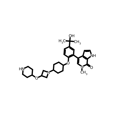 Cn1cc(-c2cc(C(C)(C)O)ccc2OC2CCC(N3CC(OC4CCNCC4)C3)CC2)c2cc[nH]c2c1=O